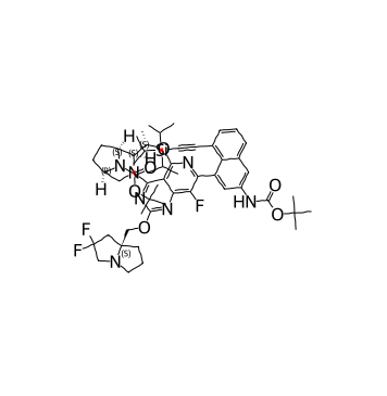 CC(C)[Si](C#Cc1cccc2cc(NC(=O)OC(C)(C)C)cc(-c3nc4c5c(nc(OC[C@@]67CCCN6CC(F)(F)C7)nc5c3F)N3C[C@H]5CC[C@@H]([C@H]3[C@H](C)O4)N5C(=O)OC(C)(C)C)c12)(C(C)C)C(C)C